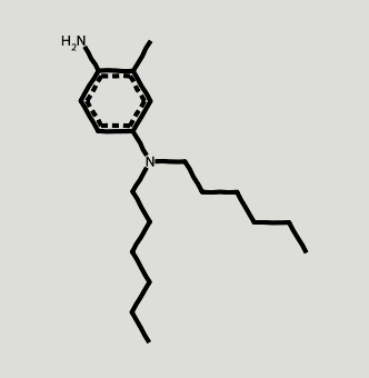 CCCCCCN(CCCCCC)c1ccc(N)c(C)c1